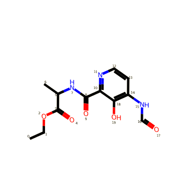 CCOC(=O)C(C)NC(=O)c1nccc(NC=O)c1O